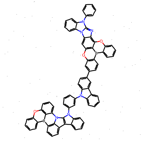 c1ccc(-n2c3ccccc3n3c4cc5c6c(c4nc23)Oc2ccccc2B6c2ccc(-c3ccc4c(c3)c3ccccc3n4-c3cccc(-n4c6ccccc6c6c7cccc8c7n(c64)-c4cccc6c4B8c4ccccc4O6)c3)cc2O5)cc1